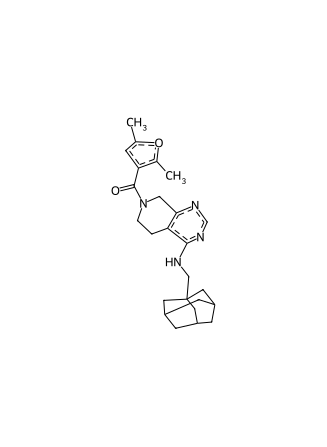 Cc1cc(C(=O)N2CCc3c(ncnc3NCC34CC5CC(CC(C5)C3)C4)C2)c(C)o1